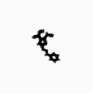 O=C(O)c1nn(CCSc2ccccc2)nc1CBr